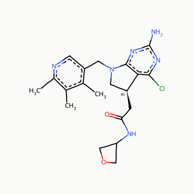 Cc1ncc(CN2C[C@H](CC(=O)NC3COC3)c3c(Cl)nc(N)nc32)c(C)c1C